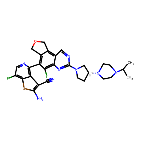 CC(C)N1CCN([C@@H]2CCN(c3ncc4c5c(c(-c6ncc(F)c7sc(N)c(C#N)c67)c(F)c4n3)COC5)C2)CC1